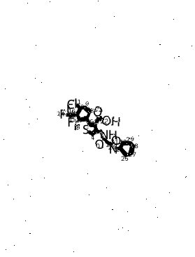 O=C(Nc1csc(-c2ccc(Cl)c(C(F)(F)F)c2F)c1C(=O)O)c1nc2ccccc2o1